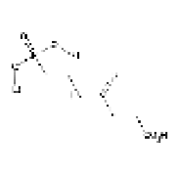 CCOP(=O)(CCNC(=O)CCC(=O)O)OCC